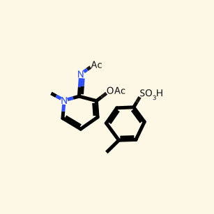 CC(=O)N=c1c(OC(C)=O)cccn1C.Cc1ccc(S(=O)(=O)O)cc1